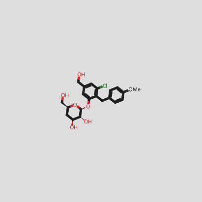 COc1ccc(Cc2c(Cl)cc(CO)cc2O[C@H]2O[C@H](CO)C[C@H](O)[C@H]2O)cc1